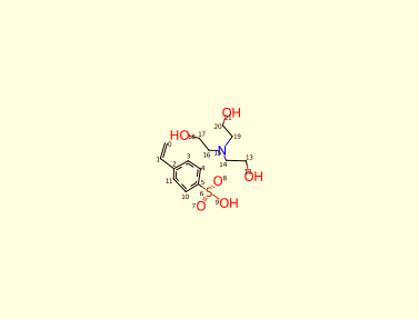 C=Cc1ccc(S(=O)(=O)O)cc1.OCCN(CCO)CCO